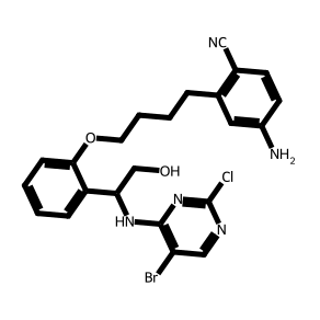 N#Cc1ccc(N)cc1CCCCOc1ccccc1C(CO)Nc1nc(Cl)ncc1Br